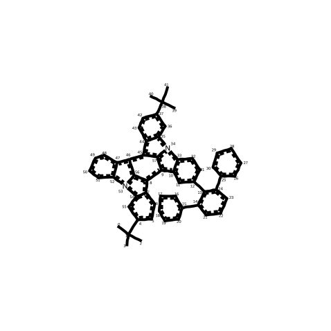 CC(C)(C)c1ccc2c3c4c5cc(-c6c(-c7ccccc7)cccc6-c6ccccc6)ccc5n5c6cc(C(C)(C)C)ccc6c(c6c7ccccc7n(c2c1)c63)c45